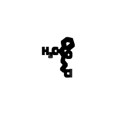 Cc1c(CCCCl)oc2ccccc12